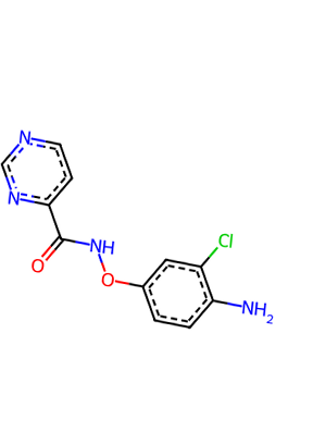 Nc1ccc(ONC(=O)c2ccncn2)cc1Cl